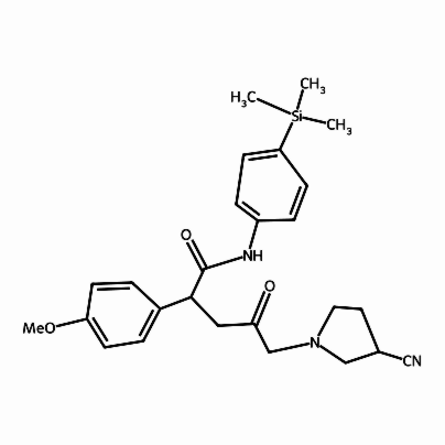 COc1ccc(C(CC(=O)CN2CCC(C#N)C2)C(=O)Nc2ccc([Si](C)(C)C)cc2)cc1